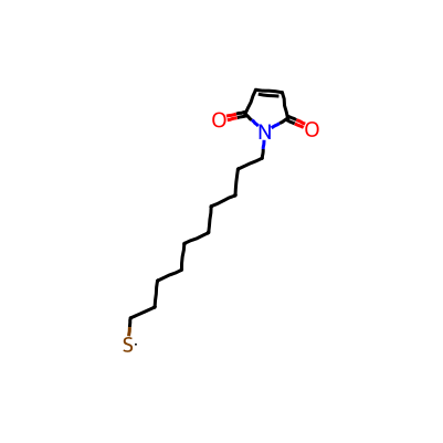 O=C1C=CC(=O)N1CCCCCCCCCC[S]